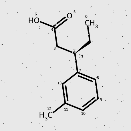 CC[C@H](CC(=O)O)c1cccc(C)c1